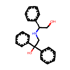 OCC(NCC(O)(c1ccccc1)c1ccccc1)c1ccccc1